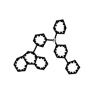 c1ccc(-c2ccc(N(c3ccccc3)c3cccc(-c4cc5ccccc5c5ccccc45)c3)cc2)cc1